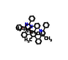 Cc1cc(-c2ccccc2)ncc1-c1ccccc1-c1c(C)c(-c2ccccc2-c2cnc(-c3ccccc3)cc2C)c(C)c(-c2ccccc2-c2cnc(-c3ccccc3)cc2C)c1C